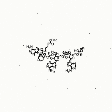 CCCCCCCCCCC(=O)OCCSP(=O)(O)OC1C2OCC[C@@]1(COP(O)(=S)OC1C(O)[C@@H](COP(O)(=S)OC3C(OC)[C@@H](COP(=O)(O)OCCC)O[C@H]3n3cnc4c(N)ncnc43)O[C@H]1n1cnc3c(N)ncnc31)O[C@H]2n1cnc2c(N)ncnc21